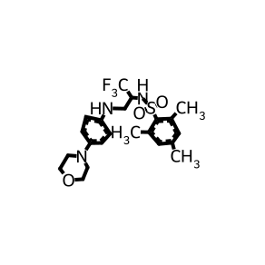 Cc1cc(C)c(S(=O)(=O)NC(CNc2ccc(N3CCOCC3)cc2)C(F)(F)F)c(C)c1